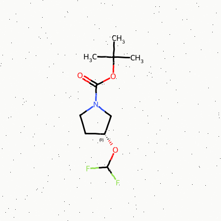 CC(C)(C)OC(=O)N1CC[C@@H](OC(F)F)C1